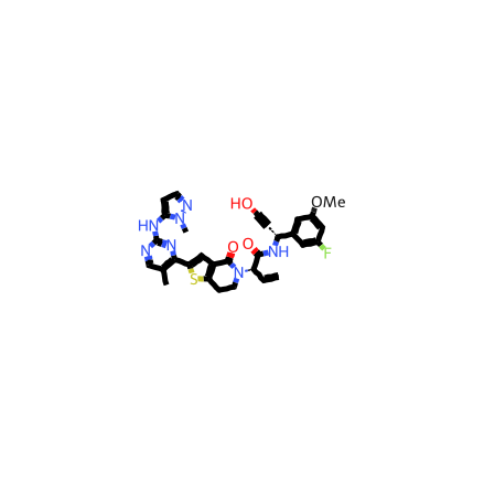 C=C[C@@H](C(=O)N[C@H](C#CO)c1cc(F)cc(OC)c1)N1CCc2sc(-c3nc(Nc4ccnn4C)ncc3C)cc2C1=O